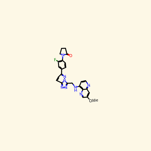 COc1cnc2c(NCc3nnc4ccc(-c5ccc(N6CCCC6=O)c(F)c5)nn34)ccnc2c1